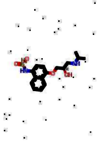 CC(C)NC[C@@H](O)COc1ccc(N[SH](=O)=O)c2ccccc12